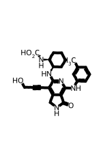 Cc1cccc(Nc2nc(N[C@@H]3CCCC[C@@H]3NC(=O)O)c(C#CCO)c3c2C(=O)NC3)c1